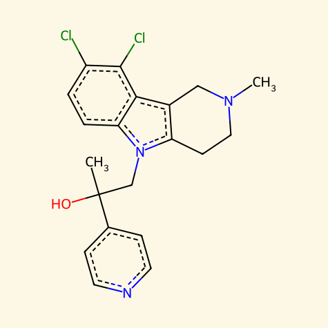 CN1CCc2c(c3c(Cl)c(Cl)ccc3n2CC(C)(O)c2ccncc2)C1